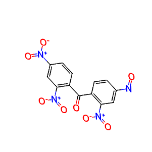 O=Nc1ccc(C(=O)c2ccc([N+](=O)[O-])cc2[N+](=O)[O-])c([N+](=O)[O-])c1